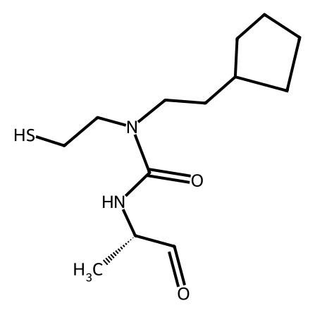 C[C@@H](C=O)NC(=O)N(CCS)CCC1CCCC1